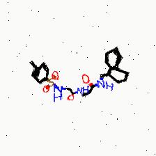 Cc1ccc(S(=O)(=O)NCC(=O)N[C@@H](C)CC(=O)NCC2CCCC3C=CC=CC32)cc1